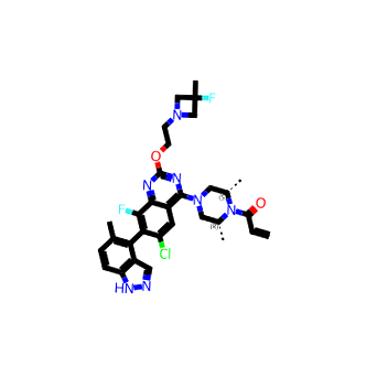 C=CC(=O)N1[C@H](C)CN(c2nc(OCCN3CC(C)(F)C3)nc3c(F)c(-c4c(C)ccc5[nH]ncc45)c(Cl)cc23)C[C@@H]1C